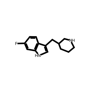 Fc1ccc2c(CC3CCCNC3)c[nH]c2c1